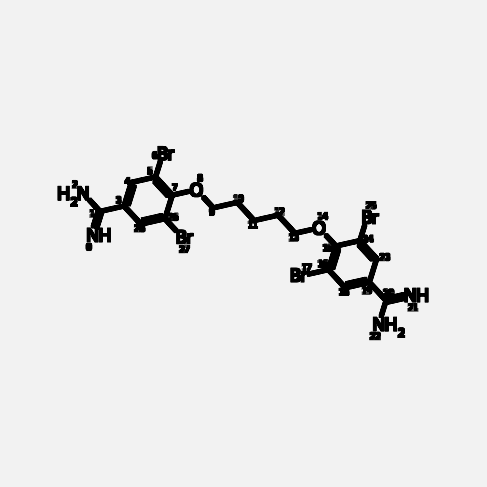 N=C(N)c1cc(Br)c(OCCCCCOc2c(Br)cc(C(=N)N)cc2Br)c(Br)c1